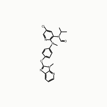 CC(C)N(C=O)c1cc(Cl)cnc1N(C)c1ccc(Oc2nc3cccnc3n2C)cc1